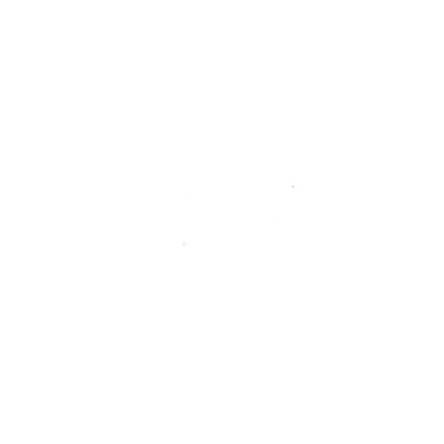 CC(C)(C)c1ccc2c(c1)Cc1c-2ccc(C(C)(C)C)[c]1[Ti+2]([C]1=CC=CC1)=[C]1CCCCC1.[Cl-].[Cl-]